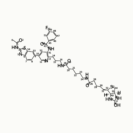 CC(=O)Nc1nc2ccc(-c3cnc(CCCNC(=O)CCCCCNC(=O)CCCC[C@H]4SC[C@H]5NC(O)N[C@H]54)c(NC(=O)c4cccc(F)c4)c3)cc2s1